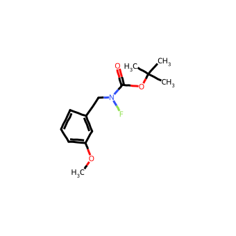 COc1cccc(CN(F)C(=O)OC(C)(C)C)c1